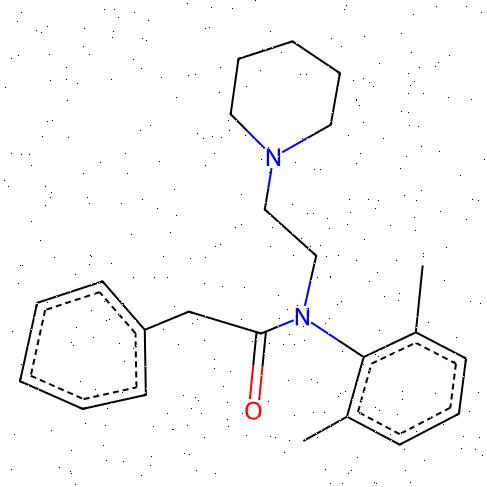 Cc1cccc(C)c1N(CCN1CCCCC1)C(=O)Cc1ccccc1